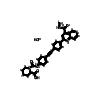 Cl.NNC(=O)c1cc(-c2ccc(C#Cc3ccc(NC(=O)N4CCCCC4C(=O)O)cc3)cc2)nc2ccncc12